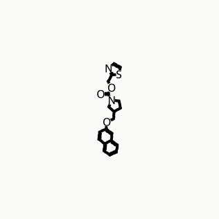 O=C(OCc1nccs1)N1CCC(COc2ccc3ccccc3c2)C1